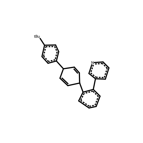 CC(C)(C)c1ccc(C2C=C[C](c3ccccc3-c3cccnc3)C=C2)cc1